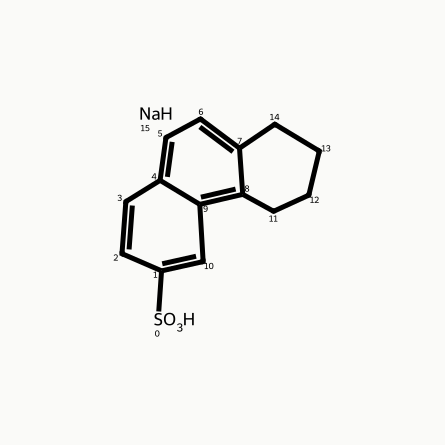 O=S(=O)(O)c1ccc2ccc3c(c2c1)CCCC3.[NaH]